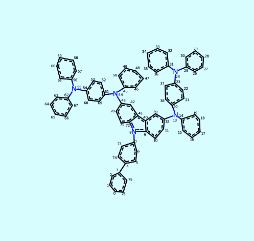 c1ccc(-c2ccc(-n3c4ccc(N(c5ccccc5)c5ccc(N(c6ccccc6)c6ccccc6)cc5)cc4c4cc(N(c5ccccc5)c5ccc(N(c6ccccc6)c6ccccc6)cc5)ccc43)cc2)cc1